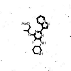 COCC(C)Oc1nc(-c2cnn3ccccc23)nc(N[C@@H]2CCCNC2)c1F